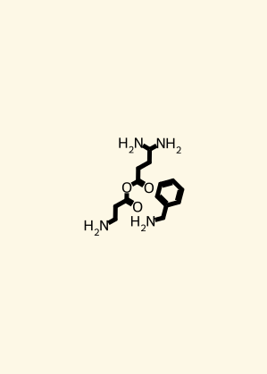 NCCC(=O)OC(=O)CCC(N)N.NCc1ccccc1